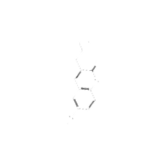 CCCc1cc2cc(N)ccc2[nH]c1=O